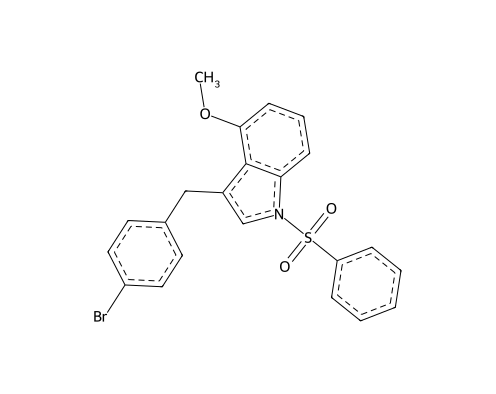 COc1cccc2c1c(Cc1ccc(Br)cc1)cn2S(=O)(=O)c1ccccc1